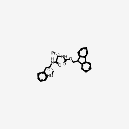 CC(C)[C@H](NC(=O)OCC1c2ccccc2-c2ccccc21)C(=O)N[C@H](CO)Cc1ccccc1